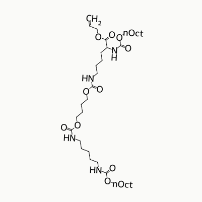 C=CCOC(=O)C(CCCCNC(=O)OCCCCOC(=O)NCCCCCNC(=O)OCCCCCCCC)NC(=O)OCCCCCCCC